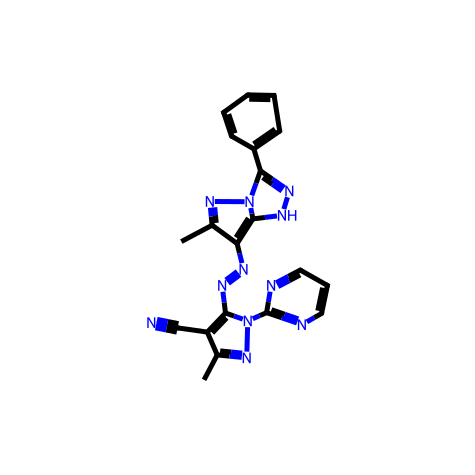 Cc1nn(-c2ncccn2)c(/N=N/c2c(C)nn3c(-c4ccccc4)n[nH]c23)c1C#N